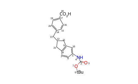 CC(C)(C)OC(=O)Nc1ccc2c(c1)CC(Cc1ccc(C(=O)O)cc1)C2